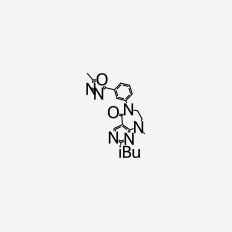 CCC(C)c1ncc2c(n1)N(C)CCN(c1cccc(-c3nnc(C)o3)c1)C2=O